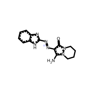 Nc1c(/N=N/c2nc3ccccc3[nH]2)c(=O)n2n1CCCC2